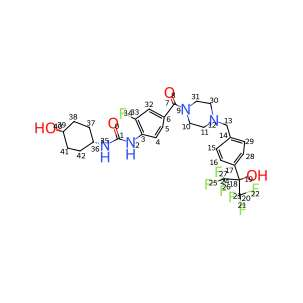 O=C(Nc1ccc(C(=O)N2CCN(Cc3ccc(C(O)(C(F)(F)F)C(F)(F)F)cc3)CC2)cc1F)N[C@H]1CC[C@H](O)CC1